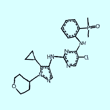 CP(C)(=O)c1ccccc1Nc1nc(Nc2cnn(C3CCOCC3)c2C2CC2)ncc1Cl